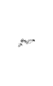 COc1nc(-c2cccc3c2OC(CNC(=O)C2CCOCC2)CO3)ccc1Nc1ccc(CNCc2ccn[nH]2)cc1